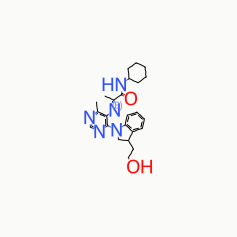 C/C(=N\c1c(C)ncnc1N1CC(CCO)c2ccccc21)C(=O)NC1CCCCC1